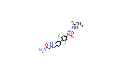 CC(=O)NC[C@H]1CN(c2cc(F)c(-c3ccc(CNCC(N)=O)cc3)c(F)c2)C(=O)O1